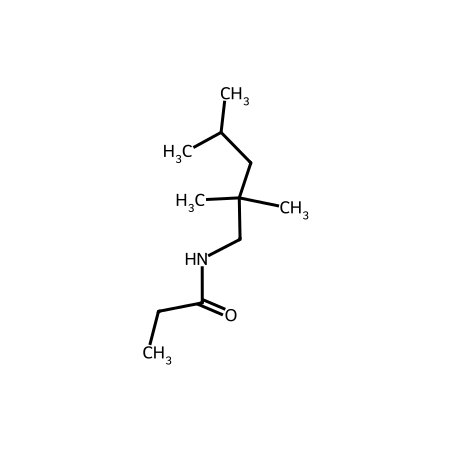 CCC(=O)NCC(C)(C)CC(C)C